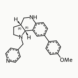 COc1ccc(-c2ccc3c(c2)[C@H]2[C@H](CCN2Cc2ccncc2)CN3)cc1